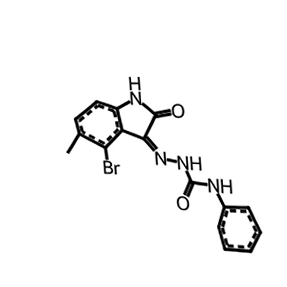 Cc1ccc2c(c1Br)/C(=N/NC(=O)Nc1ccccc1)C(=O)N2